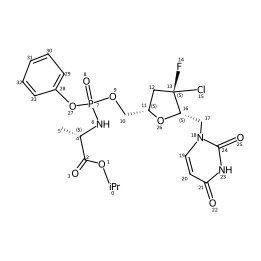 CC(C)OC(=O)[C@H](C)NP(=O)(OC[C@@H]1C[C@](F)(Cl)[C@H](Cn2ccc(=O)[nH]c2=O)O1)Oc1ccccc1